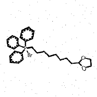 BrP(CCCCCCCCC1OCCO1)(c1ccccc1)(c1ccccc1)c1ccccc1